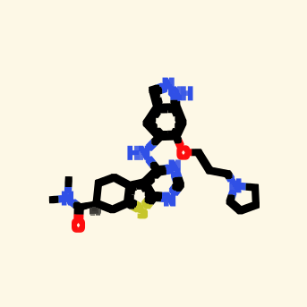 CN(C)C(=O)[C@H]1CCc2c(sc3ncnc(Nc4cc5cn[nH]c5cc4OCCCN4CCCC4)c23)C1